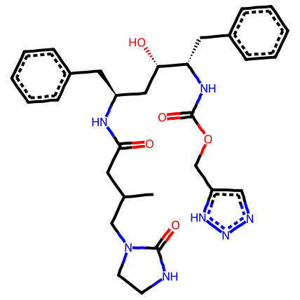 CC(CC(=O)N[C@@H](Cc1ccccc1)C[C@H](O)[C@H](Cc1ccccc1)NC(=O)OCc1cnn[nH]1)CN1CCNC1=O